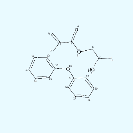 C=C(C)C(=O)OCC(C)O.c1ccc(Oc2ccccc2)cc1